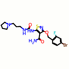 NC(=O)c1c(OCc2ccc(Br)cc2F)nsc1NC(=O)NCCCN1CCCC1